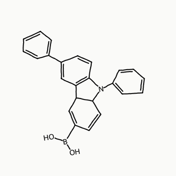 OB(O)C1=CC2c3cc(-c4ccccc4)ccc3N(c3ccccc3)C2C=C1